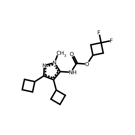 Cn1nc(C2CCC2)c(C2CCC2)c1NC(=O)OC1CC(F)(F)C1